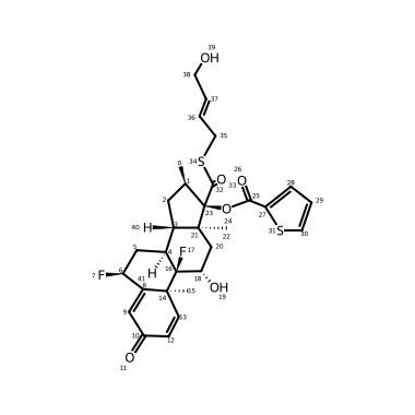 C[C@@H]1C[C@H]2[C@@H]3C[C@H](F)C4=CC(=O)C=C[C@]4(C)[C@@]3(F)[C@@H](O)C[C@]2(C)[C@@]1(OC(=O)c1cccs1)C(=O)SC/C=C/CO